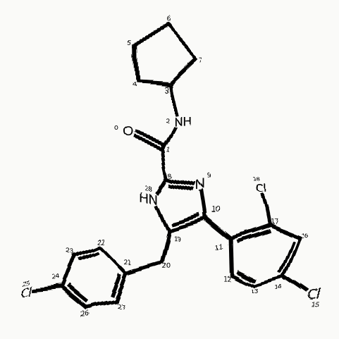 O=C(NC1CCCC1)c1nc(-c2ccc(Cl)cc2Cl)c(Cc2ccc(Cl)cc2)[nH]1